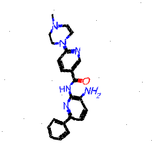 CN1CCN(c2ccc(C(=O)Nc3nc(-c4ccccc4)ccc3N)cn2)CC1